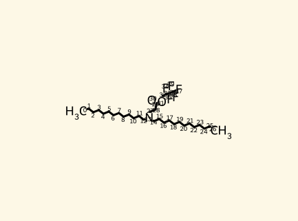 CCCCCCCCCCCCCN(CCCCCCCCCCCCC)CCC(=O)OCC(F)(F)C(F)(F)F